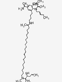 C=CCC(S)C(=C)N(C)CCCCCCCCCCCCCCCCCCCCC(=C)NCCCCc1cc(C(=C)N)cc(C)c1N(C/C=C/CC)C(=C)NC